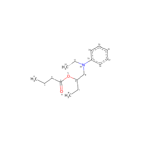 CCCC(=O)OC(CC)CN(CC)c1ccccc1